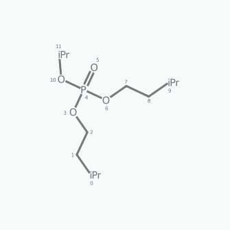 CC(C)CCOP(=O)(OCCC(C)C)OC(C)C